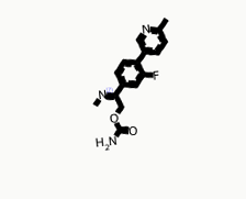 C/N=C(\COC(N)=O)c1ccc(-c2ccc(C)nc2)c(F)c1